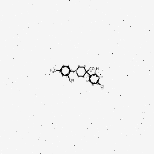 N#Cc1cc(C(F)(F)F)ccc1N1CCC(C(=O)O)(c2ccc(Cl)nc2)CC1